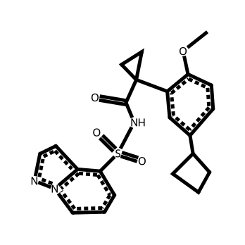 COc1ccc(C2CCC2)cc1C1(C(=O)NS(=O)(=O)c2cccn3nccc23)CC1